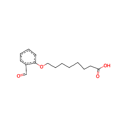 O=Cc1ccccc1OCCCCCCCC(=O)O